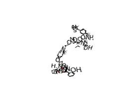 Cc1ncsc1-c1ccc([C@H](C)NC(=O)[C@@H]2C[C@@H](O)CN2C(=O)[C@@H](c2cc(OCCN3CC[C@H](O[C@H]4C[C@H](Oc5cc(N6C7CCC6CN(c6cc(-c8ccccc8O)nnc6N)C7)ccn5)C4)C[C@H]3C)no2)C(C)C)cc1